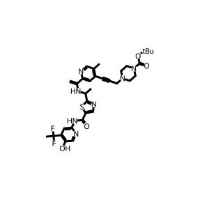 C=C(NC(C)c1ncc(C(=O)Nc2cc(C(C)(F)F)c(O)cn2)s1)c1cc(C#CCN2CCN(C(=O)OC(C)(C)C)CC2)c(C)cn1